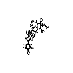 CC[C@H](C)[C@@H](C(=O)N1CCOCC1)N1CC[C@H](NS(=O)(=O)/C=C(\F)c2ccc(Cl)cc2)C1=O